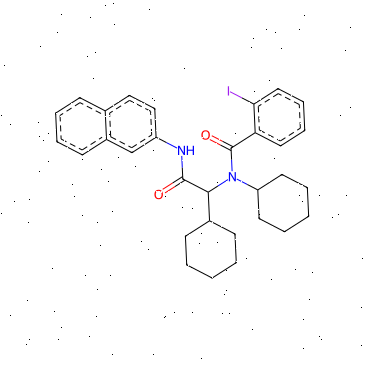 O=C(Nc1ccc2ccccc2c1)C(C1CCCCC1)N(C(=O)c1ccccc1I)C1CCCCC1